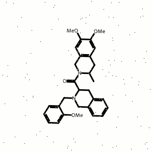 COc1ccccc1CN1Cc2ccccc2CC1C(=O)N1Cc2cc(OC)c(OC)cc2CC1C